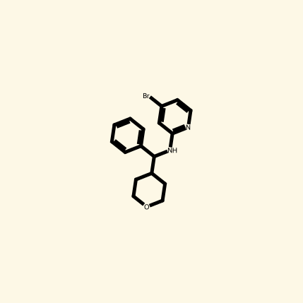 Brc1ccnc(NC(c2ccccc2)C2CCOCC2)c1